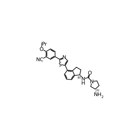 CC(C)Oc1ccc(-c2ncc(-c3cccc4c3CC[C@H]4NC(=O)N3CC[C@H](N)C3)s2)cc1C#N